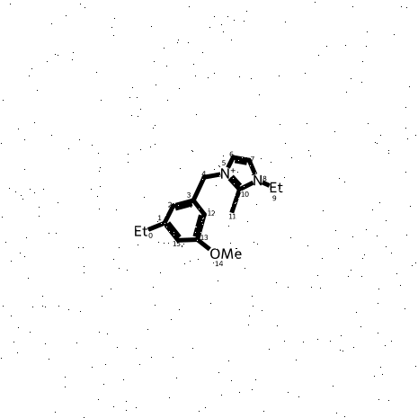 CCc1cc(C[n+]2ccn(CC)c2C)cc(OC)c1